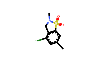 Cc1cc(Cl)c2c(c1)S(=O)(=O)N(C)C2